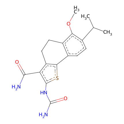 COc1c(C(C)C)ccc2c1CCc1c-2sc(NC(N)=O)c1C(N)=O